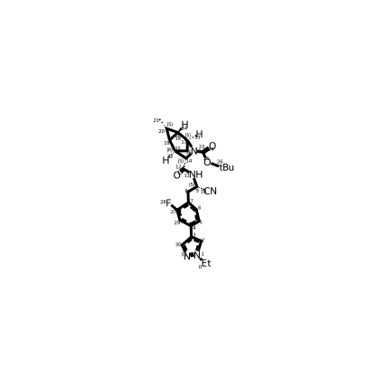 CCn1cc(-c2ccc(C[C@@H](C#N)NC(=O)[C@@H]3[C@@H]4C[C@@H]([C@@H]5C4[C@@H]5C)N3C(=O)OC(C)(C)C)c(F)c2)cn1